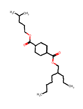 CCCCCC(CCC)COC(=O)C1CCC(C(=O)OCCCC(C)C)CC1